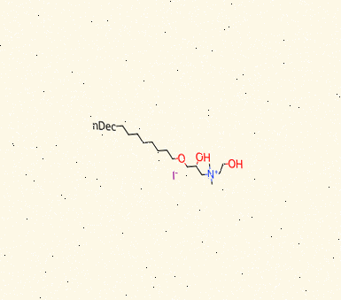 CCCCCCCCCCCCCCCCCCOCC(O)C[N+](C)(C)CCO.[I-]